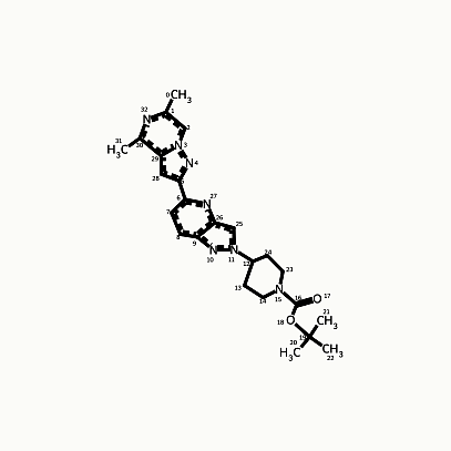 Cc1cn2nc(-c3ccc4nn(C5CCN(C(=O)OC(C)(C)C)CC5)cc4n3)cc2c(C)n1